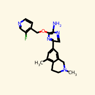 Cc1cc(-c2cnc(N)c(OCc3ccncc3F)n2)cc2c1CCN(C)C2